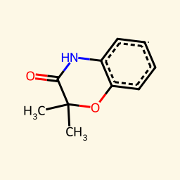 CC1(C)Oc2cc[c]cc2NC1=O